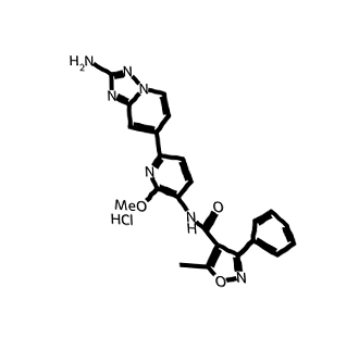 COc1nc(-c2ccn3nc(N)nc3c2)ccc1NC(=O)c1c(-c2ccccc2)noc1C.Cl